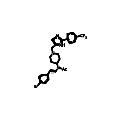 CC(=O)N(/C=C/c1ccc(Br)cc1)C1CCN(Cc2cnc(-c3ccc(C(F)(F)F)cc3)[nH]2)CC1